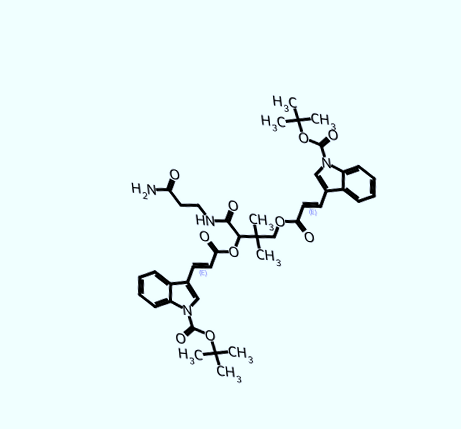 CC(C)(C)OC(=O)n1cc(/C=C/C(=O)OCC(C)(C)C(OC(=O)/C=C/c2cn(C(=O)OC(C)(C)C)c3ccccc23)C(=O)NCCC(N)=O)c2ccccc21